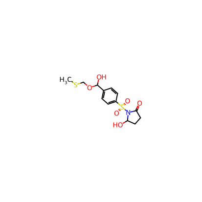 CSCOC(O)c1ccc(S(=O)(=O)N2C(=O)CCC2O)cc1